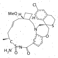 CO[C@H]1/C=C/C[C@H](C)C[S@](N)(=O)=NC(=O)c2ccc3c(c2)N(C[C@@H]2CC[C@H]21)C[C@]1(CO3)SCCc2cc(Cl)ccc21